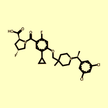 C[C@@H](c1cc(Cl)cc(Cl)c1)N1CCC(C)(COc2cc(F)c(C(=O)N3C[C@H](F)C[C@H]3C(=O)O)cc2C2CC2)CC1